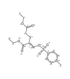 CCOC(=O)CS/C(=N\OS(=O)(=O)c1ccc(C)cc1)C(=O)OCC